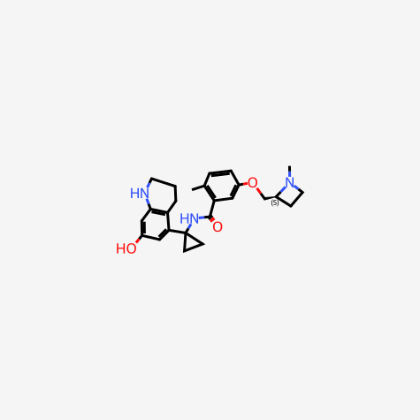 Cc1ccc(OC[C@@H]2CCN2C)cc1C(=O)NC1(c2cc(O)cc3c2CCCN3)CC1